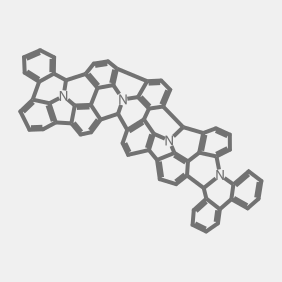 c1ccc2c(c1)-c1ccccc1N1c3cccc4c3-c3c(ccc5c6ccc7c8c6n(c35)C4c3ccc4c5ccc6c9c5n(c4c3-8)C7c3ccc4c5cccc7c5n(c4c3-9)C6c3ccccc3-7)C21